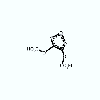 CCOC(=O)Oc1nonc1OC(=O)O